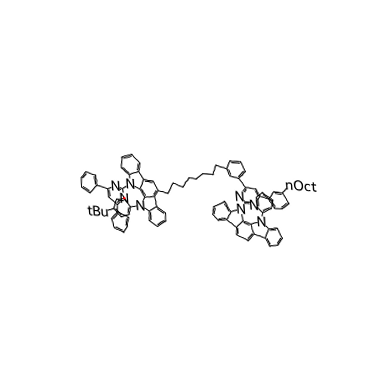 CCCCCCCCc1cccc(-c2cc(-c3cccc(CCCCCCCCc4cc5c6ccccc6n(-c6nc(-c7ccccc7)cc(-c7ccccc7)n6)c5c5c4c4ccccc4n5-c4ccc(C(C)(C)C)cc4)c3)nc(-n3c4ccccc4c4ccc5c6ccccc6n(-c6ccccc6)c5c43)n2)c1